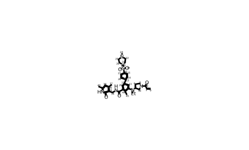 C=CC(=O)N1CCC(N(CC)c2cc(-c3ccc(S(=O)(=O)N4CCN(C)CC4)cc3)cc(C(=O)NCc3c(C)cc(C)[nH]c3=O)c2C)C1